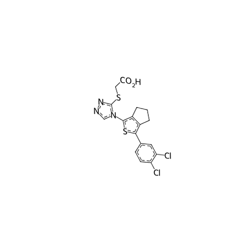 O=C(O)CSc1nncn1-c1sc(-c2ccc(Cl)c(Cl)c2)c2c1CCC2